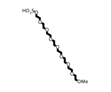 COCCOCCOCCOCCOCCOCCOCCOCCOS(=O)(=O)O